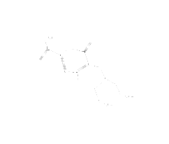 COCC(COC)Oc1c(I)cc(C(=O)OC)oc1=O